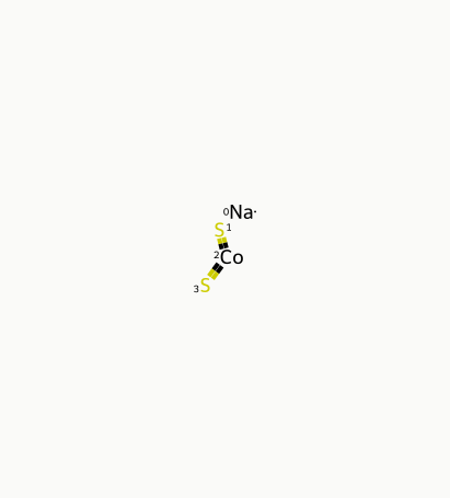 [Na].[S]=[Co]=[S]